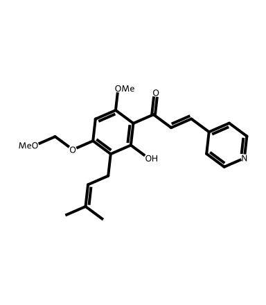 COCOc1cc(OC)c(C(=O)/C=C/c2ccncc2)c(O)c1CC=C(C)C